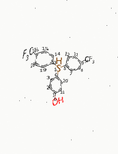 Oc1ccc([SH](c2ccc(C(F)(F)F)cc2)c2ccc(C(F)(F)F)cc2)cc1